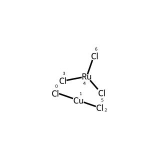 [Cl][Cu][Cl].[Cl][Ru]([Cl])[Cl]